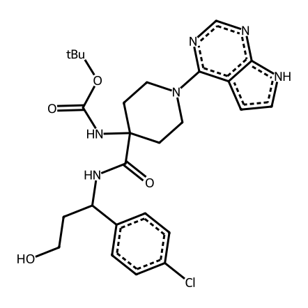 CC(C)(C)OC(=O)NC1(C(=O)NC(CCO)c2ccc(Cl)cc2)CCN(c2ncnc3[nH]ccc23)CC1